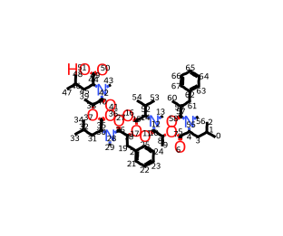 CC(C)CC(C(=O)OC(C)C(=O)N(C)C(C(=O)OC(Cc1ccccc1)C(=O)N(C)C(CC(C)C)C(=O)OC(C)C(=O)N(C)C(CC(C)C)C(=O)O)C(C)C)N(C)C(=O)C(C)Cc1ccccc1